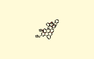 CC(C)(C)c1cc(-c2cccc3cccc(-c4ccccc4N(c4ccccc4-c4cccc5c4ccc4ccccc45)c4cccc5oc6ccccc6c45)c23)cc(C(C)(C)C)c1